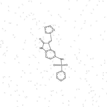 O=C1Nc2ccc(NS(=O)(=O)c3ccccc3)cc2/C1=C/c1cccs1